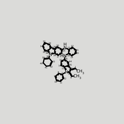 C/C=c1\c(=C/C)n(-c2ccccc2)c2ccc(Nc3ccccc3Nc3ccc4c(c3)c3ccccc3n4C3=CCCC=C3)cc12